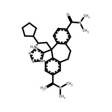 C=C(c1ccc2c(c1)CCc1cc(C(=O)N(C)C)ccc1C2(C[C@H](N)C1CCCC1)c1nnn[nH]1)N(C)C